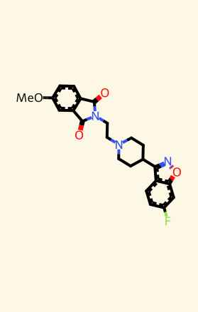 COc1ccc2c(c1)C(=O)N(CCN1CCC(c3noc4cc(F)ccc34)CC1)C2=O